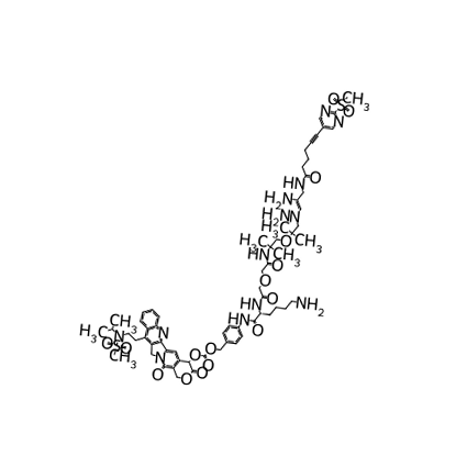 CC(C)N(CCc1c2c(nc3ccccc13)-c1cc3c(c(=O)n1C2)COC(=O)[C@H]3OC(=O)OCc1ccc(NC(=O)[C@H](CCCCN)NC(=O)COCC(=O)NC(C)(C)COC(C)(C)CN(N)/C=C(\N)CNC(=O)CCCC#Cc2cnc(S(C)(=O)=O)nc2)cc1)S(C)(=O)=O